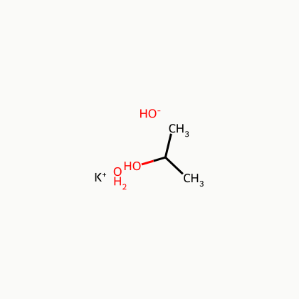 CC(C)O.O.[K+].[OH-]